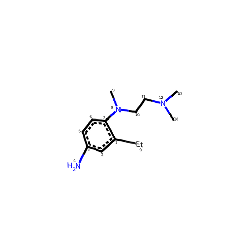 CCc1cc(N)ccc1N(C)CCN(C)C